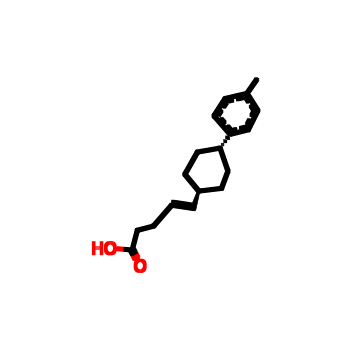 Cc1ccc([C@H]2CC[C@H](C=CCCC(=O)O)CC2)cc1